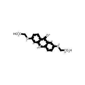 O=C(O)COc1ccc2c(=O)c3cc(OCC(=O)O)ccc3oc2c1